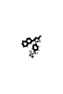 Cc1cc(-c2ccc3ccccc3c2)n(-c2ccc(NS(C)(=O)=O)cc2)n1